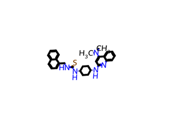 CN(C)c1cc(N[C@H]2CC[C@@H](NC(=S)NCc3cccc4ccccc34)CC2)nc2ccccc12